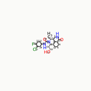 C[C@@H](c1c[nH]c(=O)c2ccccc12)N(CCCO)C(=O)Nc1ccc(F)c(Cl)c1